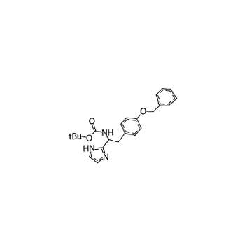 CC(C)(C)OC(=O)NC(Cc1ccc(OCc2ccccc2)cc1)c1ncc[nH]1